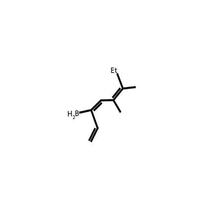 B/C(C=C)=C/C(C)=C(/C)CC